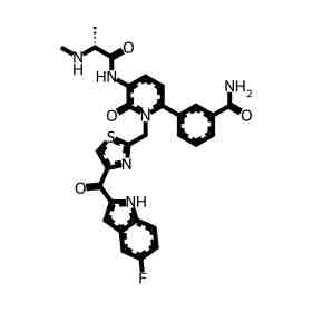 CN[C@H](C)C(=O)Nc1ccc(-c2cccc(C(N)=O)c2)n(Cc2nc(C(=O)c3cc4cc(F)ccc4[nH]3)cs2)c1=O